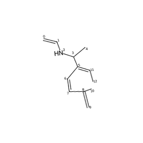 C=CNC(C)C(/C=C\C(=C)C)=C/C